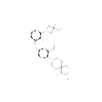 CCC1(CO)CN(c2nccc(Sc3cnc(N4CCC5(CC4)CO[C@@H](C)[C@H]5N)c(CO)n3)c2Cl)C1